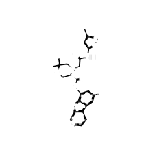 Cc1cc(NC(=O)CN2CC(C)(C)OC[C@@H]2C(=O)Nc2cc(Cl)cc3c2[nH]c2cnccc23)sn1